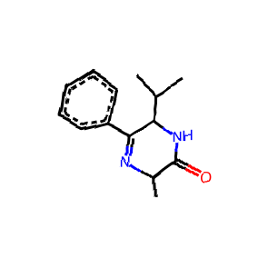 CC1N=C(c2ccccc2)C(C(C)C)NC1=O